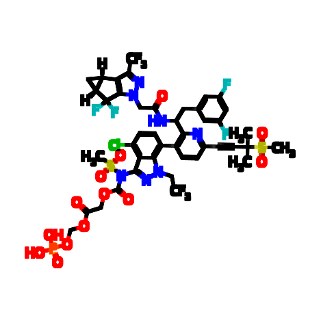 CC(C)(C#Cc1ccc(-c2ccc(Cl)c3c(N(C(=O)OCC(=O)OCOP(=O)(O)O)S(C)(=O)=O)nn(CC(F)(F)F)c23)c(C(Cc2cc(F)cc(F)c2)NC(=O)Cn2nc(C(F)(F)F)c3c2C(F)(F)[C@@H]2C[C@H]32)n1)S(C)(=O)=O